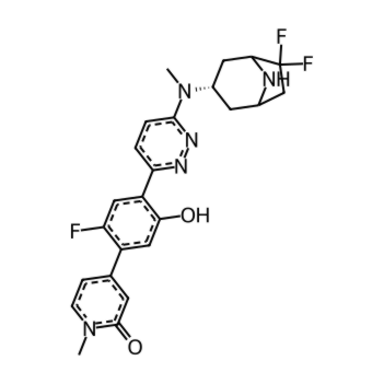 CN(c1ccc(-c2cc(F)c(-c3ccn(C)c(=O)c3)cc2O)nn1)[C@H]1CC2CC(F)(F)C(C1)N2